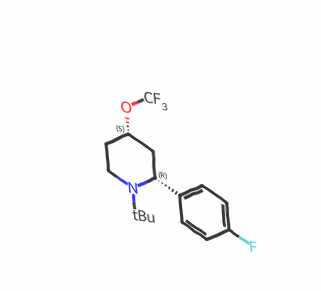 CC(C)(C)N1CC[C@H](OC(F)(F)F)C[C@@H]1c1ccc(F)cc1